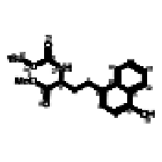 COC(=O)C(CCc1ccc(O)c2ccccc12)NC(=O)OC(C)(C)C